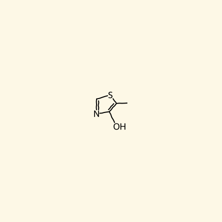 Cc1scnc1O